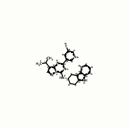 CC(C)c1cnn2c(N[C@H]3CCc4[nH]c5cccnc5c4C3)nc(-c3cncc(F)c3)nc12